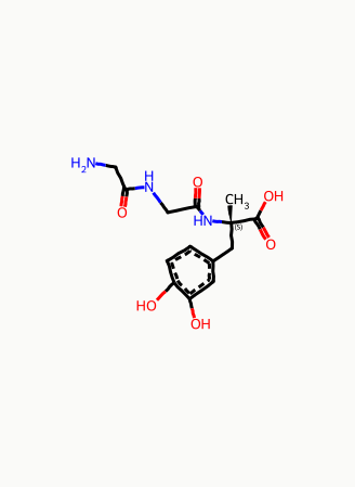 C[C@@](Cc1ccc(O)c(O)c1)(NC(=O)CNC(=O)CN)C(=O)O